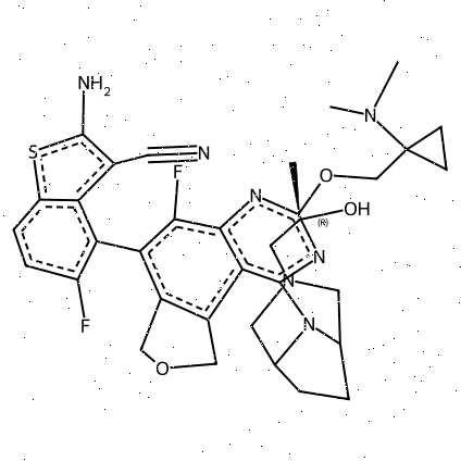 C[C@@H](O)CN1CC2CCC(C1)N2c1nc(OCC2(N(C)C)CC2)nc2c(F)c(-c3c(F)ccc4sc(N)c(C#N)c34)c3c(c12)COC3